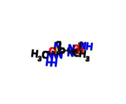 CCNC(=O)Nc1nc2cc(-c3cnc([C@@H](C)OC(=O)C4CCCN4)nc3)cc(-c3ccccn3)c2s1